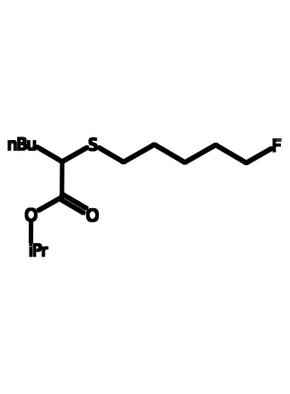 CCCCC(SCCCCCF)C(=O)OC(C)C